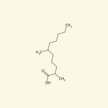 CCCCCC(C)CCCC(C)C(=O)O